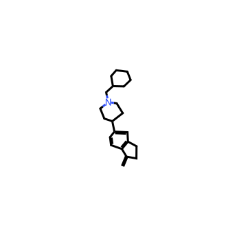 C=C1CCc2cc(C3CCN(CC4CCCCC4)CC3)ccc21